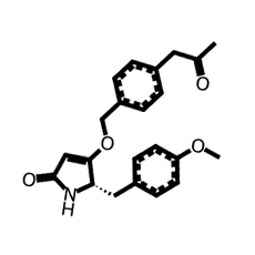 COc1ccc(C[C@@H]2NC(=O)C=C2OCc2ccc(CC(C)=O)cc2)cc1